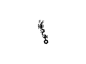 FC(F)c1nnc(-c2ccc(Cn3cnc(-c4ccccc4)c3)s2)o1